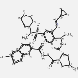 C[C@@H](NC(=O)[C@@H]1C[C@@H](O)CN1C(=O)CNC(=O)c1ccc2cc(F)ccc2n1)c1ccc(S(=O)(=O)N(C)C2CCOCC2)cc1/C=C/C1CC1